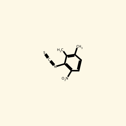 Cc1ccc([N+](=O)[O-])c(N=C=S)c1C